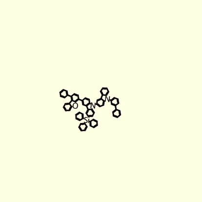 c1ccc(-c2cccc(-n3c4ccccc4c4cc(-n5c6ccc(-c7ccc(-c8ccccc8)c8c7oc7ccccc78)cc6c6cc([Si](c7ccccc7)(c7ccccc7)c7ccccc7)ccc65)ccc43)c2)cc1